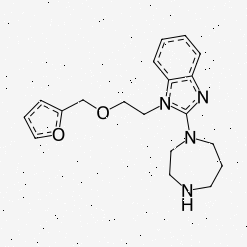 c1coc(COCCn2c(N3CCCNCC3)nc3ccccc32)c1